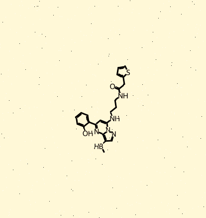 CBc1cnn2c(NCCCNC(=O)Cc3cccs3)cc(-c3ccccc3O)nc12